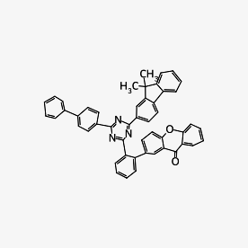 CC1(C)c2ccccc2-c2ccc(-c3nc(-c4ccc(-c5ccccc5)cc4)nc(-c4ccccc4-c4ccc5oc6ccccc6c(=O)c5c4)n3)cc21